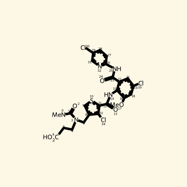 CNC(=O)N(CCC(=O)O)Cc1csc(C(=O)Nc2c(OC)cc(Cl)cc2C(=O)Nc2ccc(Cl)cn2)c1Cl